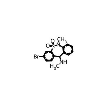 CNC1c2ccccc2N(C)S(=O)(=O)c2cc(Br)ccc21